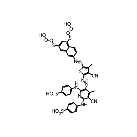 Cc1c(/N=N/c2ccc3c(SOOO)cc(SOOO)cc3c2)sc(/N=N/c2c(Nc3ccc(S(=O)(=O)O)cc3)nc(Nc3ccc(S(=O)(=O)O)cc3)c(C#N)c2C)c1C#N